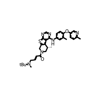 Cc1ccc(Oc2ccc(Nc3ncnc4sc5c(c34)[C@H](C)CN(C(=O)/C=C/CN(C)C(C)(C)C)C5)cc2C)cn1